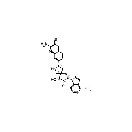 Nc1nc2cc([C@@H]3C[C@@]4(CN3)C[C@@H](n3ccc5c(N)ncnc53)[C@H](O)[C@@H]4O)ccc2cc1Br